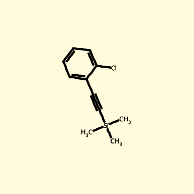 C[Si](C)(C)C#Cc1ccccc1Cl